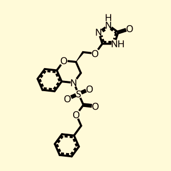 O=C(OCc1ccccc1)S(=O)(=O)N1C[C@H](COc2n[nH]c(=O)[nH]2)Oc2ccccc21